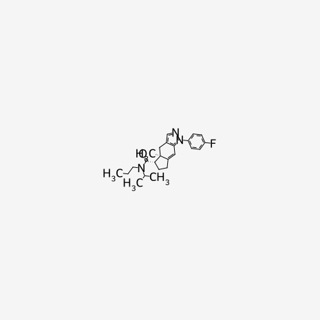 CCCN(C(=O)[C@H]1CCC2=Cc3c(cnn3-c3ccc(F)cc3)C[C@@]21C)C(C)C